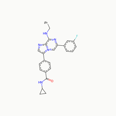 CC(C)CNc1nc(-c2cccc(F)c2)cn2c(-c3ccc(C(=O)NC4CC4)cc3)cnc12